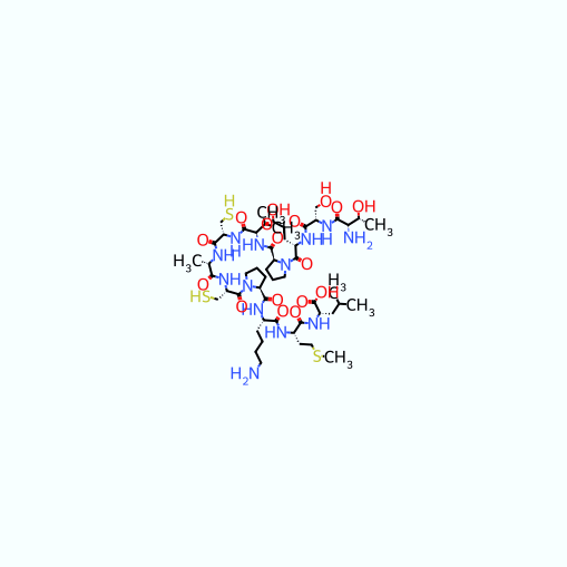 CSCC[C@H](NC(=O)[C@H](CCCCN)NC(=O)[C@@H]1CCCN1C(=O)[C@H](CS)NC(=O)[C@H](C)NC(=O)[C@H](CS)NC(=O)[C@@H](NC(=O)[C@@H]1CCCN1C(=O)[C@H](CCC(=O)O)NC(=O)[C@H](CO)NC(=O)[C@@H](N)[C@@H](C)O)C(C)C)C(=O)N[C@@H](CC(C)C)C(=O)O